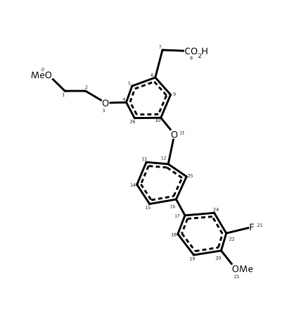 COCCOc1cc(CC(=O)O)cc(Oc2cccc(-c3ccc(OC)c(F)c3)c2)c1